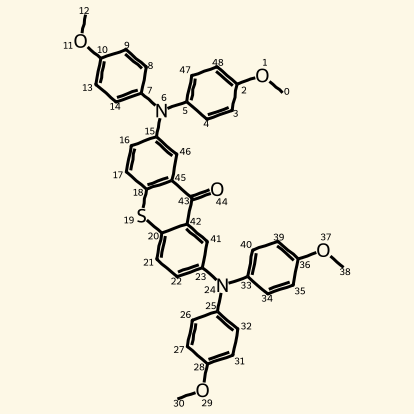 COc1ccc(N(c2ccc(OC)cc2)c2ccc3sc4ccc(N(c5ccc(OC)cc5)c5ccc(OC)cc5)cc4c(=O)c3c2)cc1